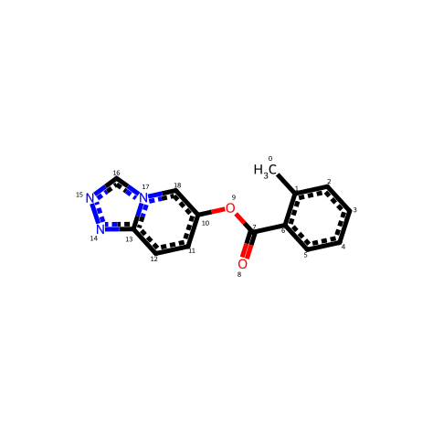 Cc1ccccc1C(=O)Oc1ccc2nncn2c1